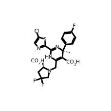 C[C@@]1(c2ccc(F)cc2)N=C(c2ncc(Cl)s2)NC(CN2CC(F)(F)C[C@H]2C(=O)O)=C1C(=O)O